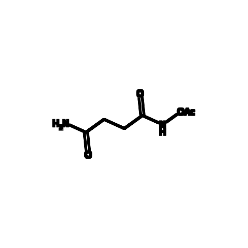 CC(=O)ONC(=O)CCC(N)=O